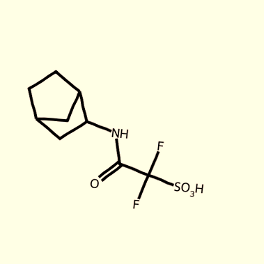 O=C(NC1CC2CCC1C2)C(F)(F)S(=O)(=O)O